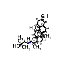 C[C@H](/C=C/CC(C)(C)O)[C@H]1CC[C@@]2(C)C3=CC=C4C[C@@H](O)CC[C@]4(C)[C@@]3(C)CC[C@]12C